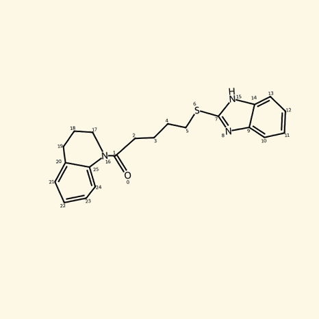 O=C(CCCCSc1nc2ccccc2[nH]1)N1CCCc2ccccc21